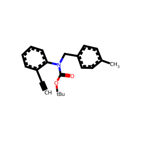 C#Cc1ccccc1N(Cc1ccc(C)cc1)C(=O)OC(C)(C)C